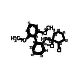 COc1cccc(OC)c1-c1ccccc1PC1(Cl)CCCCC1Cl